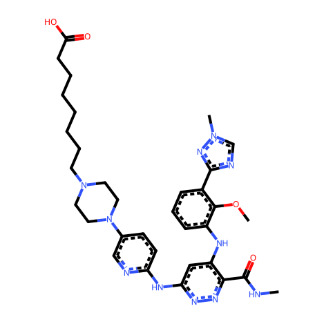 CNC(=O)c1nnc(Nc2ccc(N3CCN(CCCCCCCC(=O)O)CC3)cn2)cc1Nc1cccc(-c2ncn(C)n2)c1OC